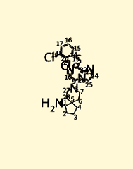 NC1CCCC12CCN(c1cnc(Sc3cccc(Cl)c3Cl)c3nccn13)CC2